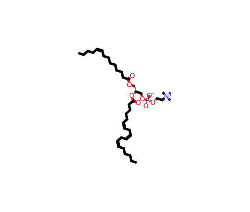 CCCC/C=C\CCCCCCCC(=O)OC[C@H](COP(=O)([O-])OCC[N+](C)(C)C)OC(=O)CCCC/C=C\C/C=C\C/C=C\CCCCC